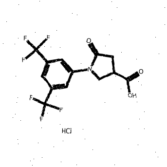 Cl.O=C(O)C1CC(=O)N(c2cc(C(F)(F)F)cc(C(F)(F)F)c2)C1